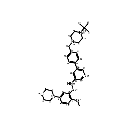 COc1ncc(N2CCOCC2)cc1SNc1cncc(-c2ccc(CN3CCN(C(C)(C)C)CC3)cc2)c1